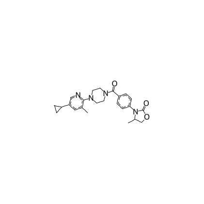 Cc1cc(C2CC2)cnc1N1CCN(C(=O)c2ccc(N3C(=O)OCC3C)cc2)CC1